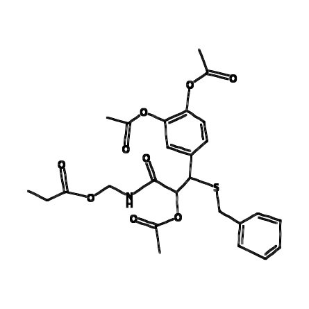 CCC(=O)OCNC(=O)C(OC(C)=O)C(SCc1ccccc1)c1ccc(OC(C)=O)c(OC(C)=O)c1